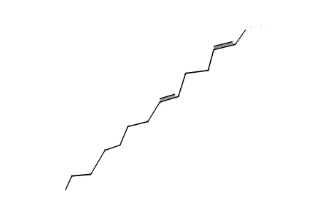 CCCCC/C=C/CC/C=C/CCCCCCC(=O)O